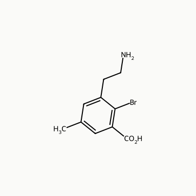 Cc1cc(CCN)c(Br)c(C(=O)O)c1